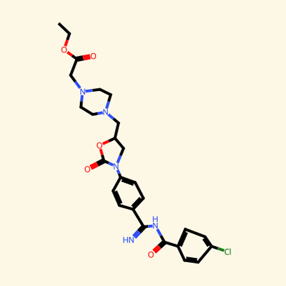 CCOC(=O)CN1CCN(CC2CN(c3ccc(C(=N)NC(=O)c4ccc(Cl)cc4)cc3)C(=O)O2)CC1